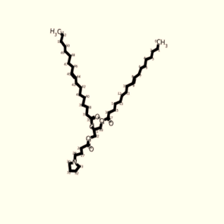 CCCCCCCCC=CCCCCCCCC(=O)OCC(COC(=O)CCCN1CCCC1)OC(=O)CCCCCCCC=CCCCCCCCC